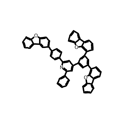 c1ccc(-c2cc(-c3cc(-c4cccc5c4oc4ccccc45)cc(-c4cccc5c4oc4ccccc45)c3)cc(-c3ccc(-c4ccc5oc6ccccc6c5c4)cc3)n2)cc1